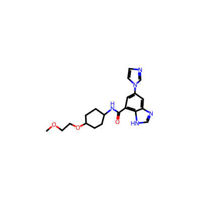 COCCOC1CCC(NC(=O)c2cc(-n3ccnc3)cc3nc[nH]c23)CC1